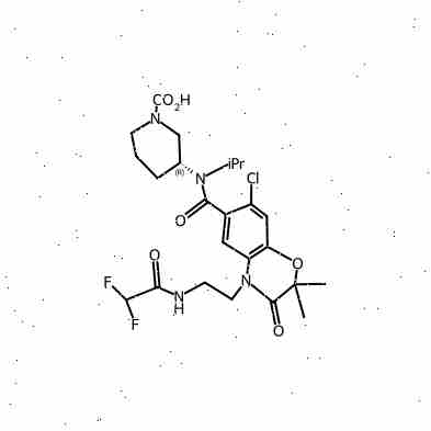 CC(C)N(C(=O)c1cc2c(cc1Cl)OC(C)(C)C(=O)N2CCNC(=O)C(F)F)[C@@H]1CCCN(C(=O)O)C1